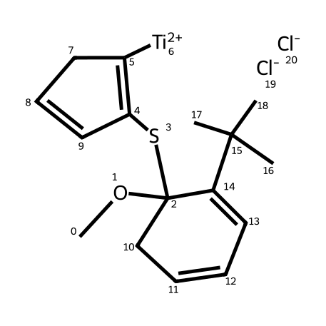 COC1(SC2=[C]([Ti+2])CC=C2)CC=CC=C1C(C)(C)C.[Cl-].[Cl-]